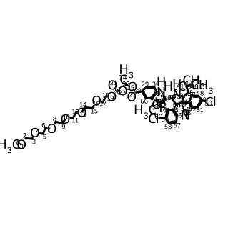 COCCOCCOCCOCCOCCOCCOC(=O)OC(C)OC(=O)c1ccc(NC(=O)[C@@H]2NC(CC(C)(C)C)[C@](C#N)(c3ccc(Cl)cc3F)[C@H]2c2cccc(Cl)c2F)c(OC)c1